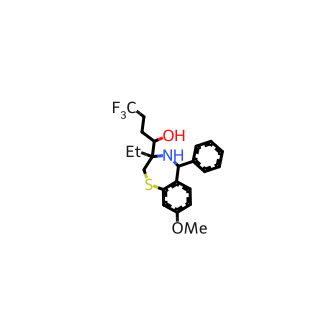 CCC1(C(O)CCC(F)(F)F)CSc2cc(OC)ccc2C(c2ccccc2)N1